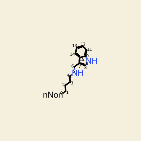 CCCCCCCCCCCCCNCc1c[nH]c2ccccc12